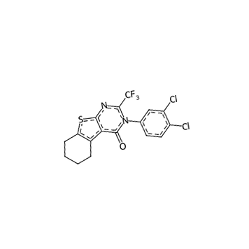 O=c1c2c3c(sc2nc(C(F)(F)F)n1-c1ccc(Cl)c(Cl)c1)CCCC3